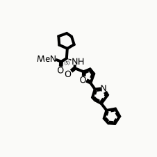 CNC(=O)[C@@H](NC(=O)c1ccc(-c2ccc(-c3ccccc3)cn2)o1)C1CCCCC1